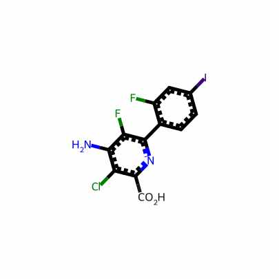 Nc1c(F)c(-c2ccc(I)cc2F)nc(C(=O)O)c1Cl